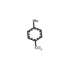 CC(C)(C)c1ccc(C(Cl)(Cl)Cl)cc1